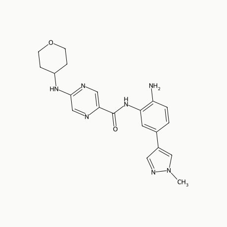 Cn1cc(-c2ccc(N)c(NC(=O)c3cnc(NC4CCOCC4)cn3)c2)cn1